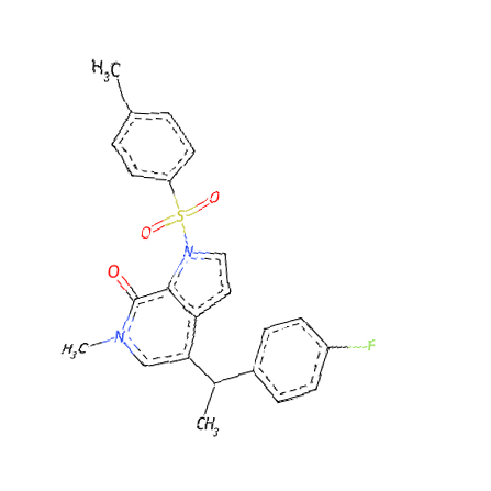 Cc1ccc(S(=O)(=O)n2ccc3c(C(C)c4ccc(F)cc4)cn(C)c(=O)c32)cc1